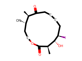 C[C@H]1C(=O)OCC[C@H](N=O)[C@@H](C)C(=O)CCCC[C@@H](I)[C@@H]1O